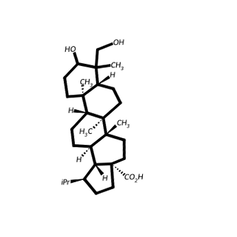 CC(C)[C@@H]1CC[C@]2(C(=O)O)CC[C@]3(C)[C@H](CC[C@@H]4[C@@]5(C)CCC(O)C(C)(CO)[C@@H]5CC[C@]43C)[C@@H]12